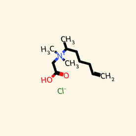 C=CCCCC(C)[N+](C)(C)CC(=O)O.[Cl-]